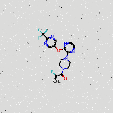 C=C(F)C(=O)N1CCN(c2nccnc2Oc2cnc(C(F)(F)F)nc2)CC1